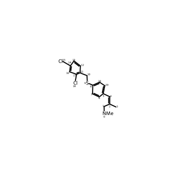 CNCC(C)=Cc1ccc(SCc2ccc(Cl)cc2Cl)cc1